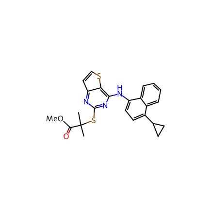 COC(=O)C(C)(C)Sc1nc(Nc2ccc(C3CC3)c3ccccc23)c2sccc2n1